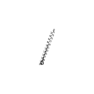 CCCCCCCCCCCCCCCCCCC=C[CH]OC